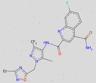 CCc1noc(Cn2nc(C(F)(F)F)c(NC(=O)c3cc(C(N)=O)c4ccc(F)cc4n3)c2C)n1